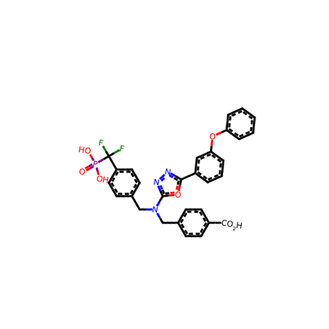 O=C(O)c1ccc(CN(Cc2ccc(C(F)(F)P(=O)(O)O)cc2)c2nnc(-c3cccc(Oc4ccccc4)c3)o2)cc1